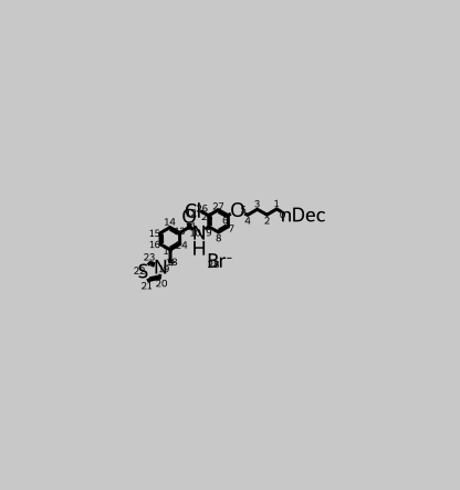 CCCCCCCCCCCCCCOc1ccc(NC(=O)c2cccc(C[n+]3ccsc3)c2)c(Cl)c1.[Br-]